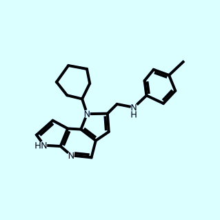 Cc1ccc(NCc2cc3cnc4[nH]ccc4c3n2C2CCCCC2)cc1